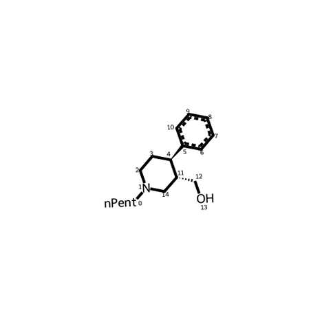 CCCCCN1CC[C@@H](c2ccccc2)[C@H](CO)C1